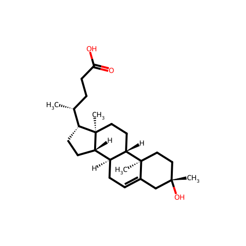 C[C@H](CCC(=O)O)[C@H]1CC[C@H]2[C@@H]3CC=C4C[C@@](C)(O)CC[C@]4(C)[C@H]3CC[C@]12C